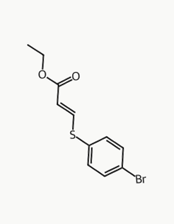 CCOC(=O)/C=C/Sc1ccc(Br)cc1